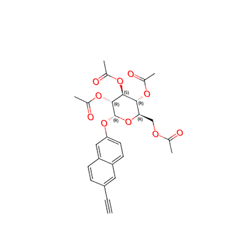 C#Cc1ccc2cc(O[C@H]3O[C@H](COC(C)=O)[C@@H](OC(C)=O)[C@H](OC(C)=O)[C@H]3OC(C)=O)ccc2c1